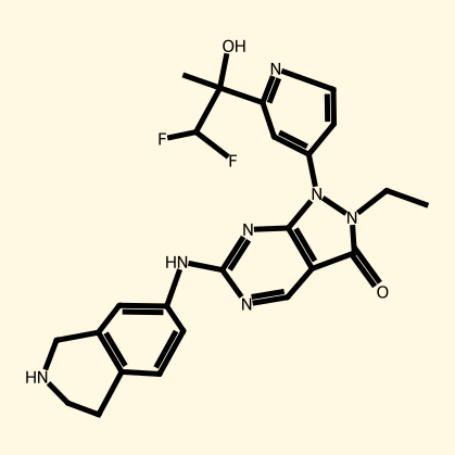 CCn1c(=O)c2cnc(Nc3ccc4c(c3)CNCC4)nc2n1-c1ccnc(C(C)(O)C(F)F)c1